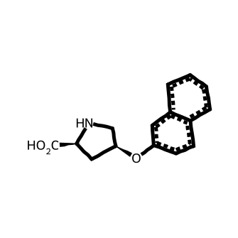 O=C(O)[C@@H]1C[C@H](Oc2ccc3ccccc3c2)CN1